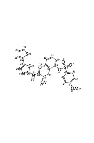 COc1ccc(S(=O)(=O)Oc2ccccc2CC(C#N)C(=O)Nc2nnc(-c3cccs3)s2)cc1